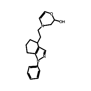 OC1CN(CCC2CCCc3c2cnn3-c2ccccc2)C=CO1